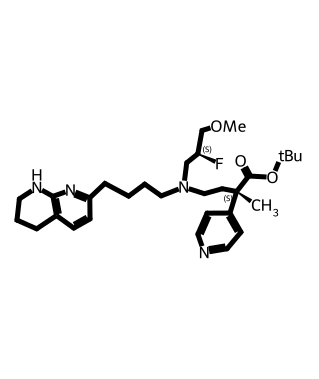 COC[C@@H](F)CN(CCCCc1ccc2c(n1)NCCC2)CC[C@](C)(C(=O)OC(C)(C)C)c1ccncc1